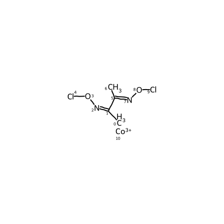 CC(=NOCl)C(C)=NOCl.[Co+3]